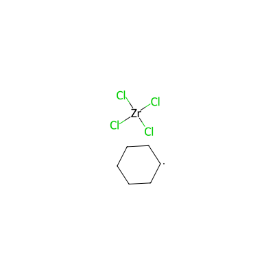 [CH]1CCCCC1.[Cl][Zr]([Cl])([Cl])[Cl]